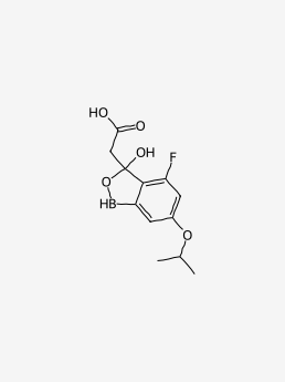 CC(C)Oc1cc(F)c2c(c1)BOC2(O)CC(=O)O